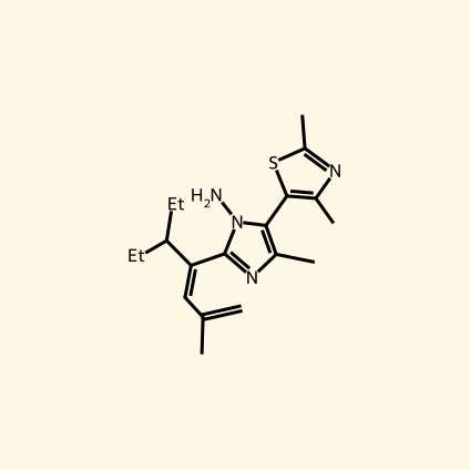 C=C(C)/C=C(\c1nc(C)c(-c2sc(C)nc2C)n1N)C(CC)CC